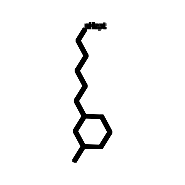 CCCCCCCCCCCCC1CCCC(C)C1